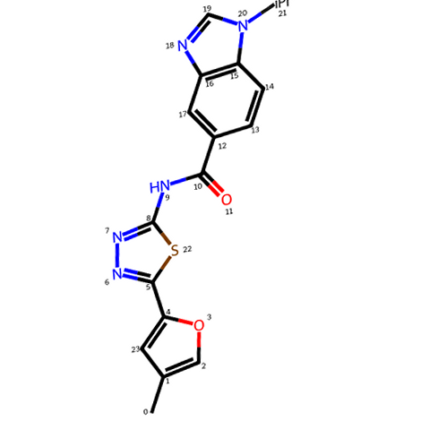 Cc1coc(-c2nnc(NC(=O)c3ccc4c(c3)ncn4C(C)C)s2)c1